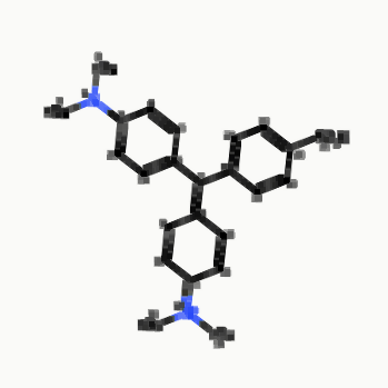 CCCCN(CCCC)c1ccc(C(=C2C=CC(=[N+](CCCC)CCCC)C=C2)c2ccc(S(=O)(=O)O)cc2)cc1